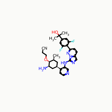 C[C@H]1C[C@@H](c2ccncc2Nc2ncc3ccc(-c4c(F)cc(C(C)(C)O)cc4F)nn23)C[C@@H](N)[C@H]1OCCC#N